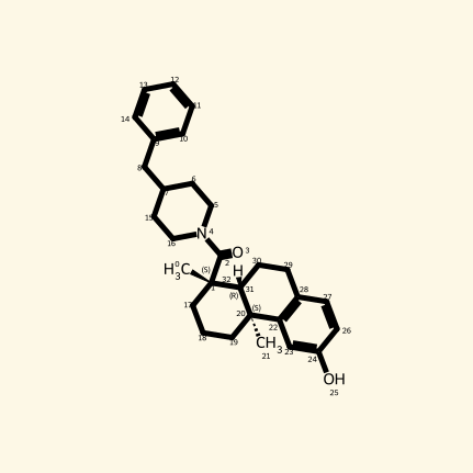 C[C@]1(C(=O)N2CCC(Cc3ccccc3)CC2)CCC[C@]2(C)c3cc(O)ccc3CC[C@@H]12